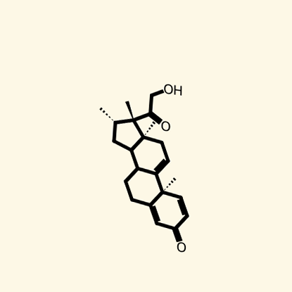 C[C@H]1CC2C3CCC4=CC(=O)C=C[C@]4(C)C3=CC[C@]2(C)[C@@]1(C)C(=O)CO